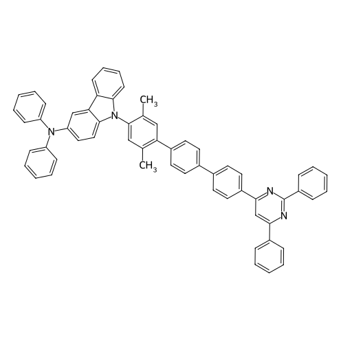 Cc1cc(-n2c3ccccc3c3cc(N(c4ccccc4)c4ccccc4)ccc32)c(C)cc1-c1ccc(-c2ccc(-c3cc(-c4ccccc4)nc(-c4ccccc4)n3)cc2)cc1